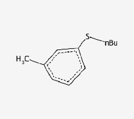 CCCCSc1cccc(C)c1